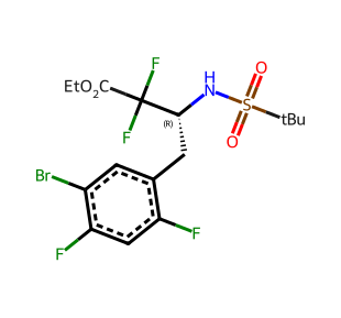 CCOC(=O)C(F)(F)[C@@H](Cc1cc(Br)c(F)cc1F)NS(=O)(=O)C(C)(C)C